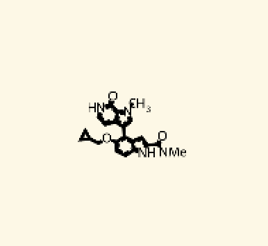 CNC(=O)c1cc2c(-c3cn(C)c4c(=O)[nH]ccc34)c(OCC3CC3)ccc2[nH]1